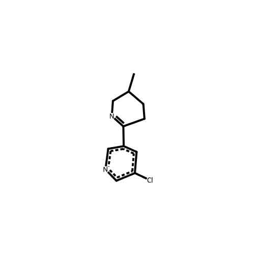 CC1CCC(c2cncc(Cl)c2)=NC1